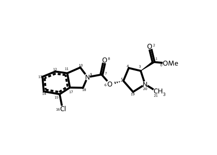 COC(=O)[C@@H]1C[C@@H](OC(=O)N2Cc3cccc(Cl)c3C2)CN1C